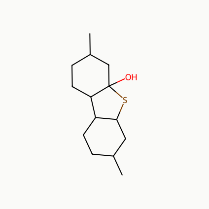 CC1CCC2C(C1)SC1(O)CC(C)CCC21